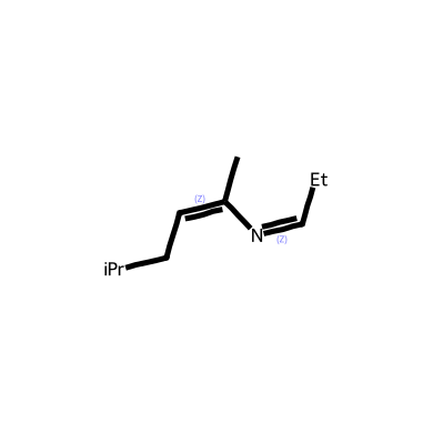 CC/C=N\C(C)=C/CC(C)C